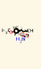 C#CC(Cc1ccc(OC)cc1)OC(N)=O